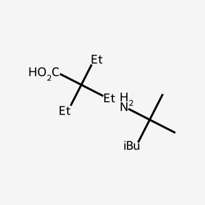 CCC(C)C(C)(C)N.CCC(CC)(CC)C(=O)O